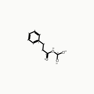 O=C(CCc1ccccc1)OC(Cl)Cl